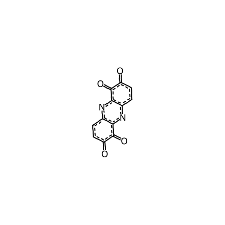 O=c1ccc2nc3c(=O)c(=O)ccc3nc2c1=O